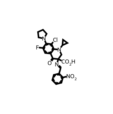 O=C(O)C1(N=Cc2ccccc2[N+](=O)[O-])CN(C2CC2)c2c(cc(F)c(N3CCCC3)c2Cl)C1=O